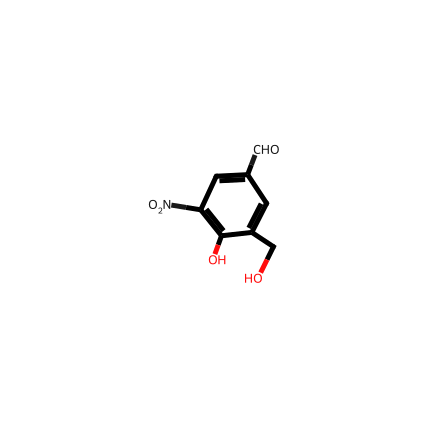 O=Cc1cc(CO)c(O)c([N+](=O)[O-])c1